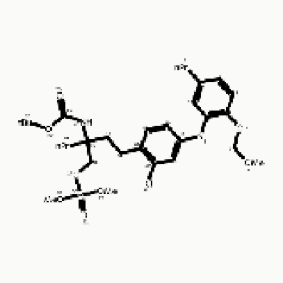 CCCc1ccc(OCOC)c(Sc2ccc(CCC(CCC)(COP(=O)(OC)OC)NC(=O)OC(C)(C)C)c(Cl)c2)c1